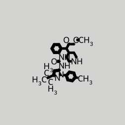 COCC(=O)C(c1ccccc1NC(=O)Nc1cc(C(C)(C)C)nn1-c1ccc(C)cc1)C1CCNCC1